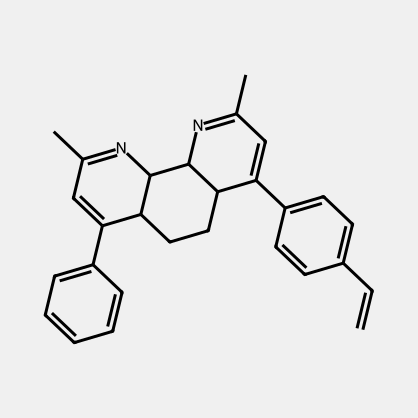 C=Cc1ccc(C2=CC(C)=NC3C2CCC2C(c4ccccc4)=CC(C)=NC23)cc1